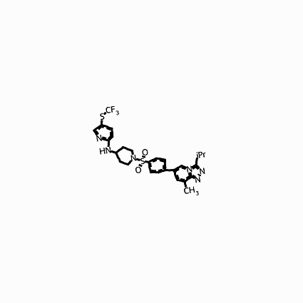 Cc1cc(-c2ccc(S(=O)(=O)N3CCC(Nc4ccc(SC(F)(F)F)cn4)CC3)cc2)cn2c(C(C)C)nnc12